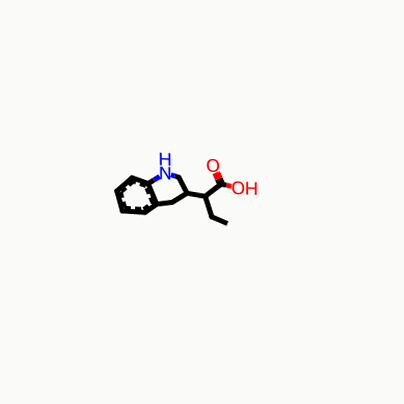 CCC(C(=O)O)C1CNc2ccccc2C1